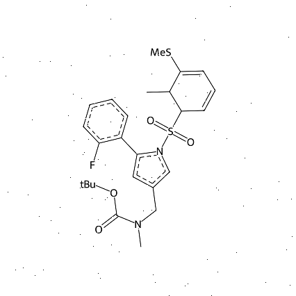 CSC1=CC=CC(S(=O)(=O)n2cc(CN(C)C(=O)OC(C)(C)C)cc2-c2ccccc2F)C1C